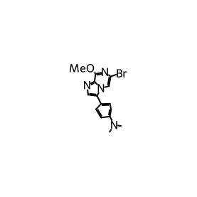 COc1nc(Br)cn2c(-c3ccc(N(C)C)cc3)cnc12